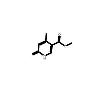 COC(=O)c1c[nH]c(=S)cc1C